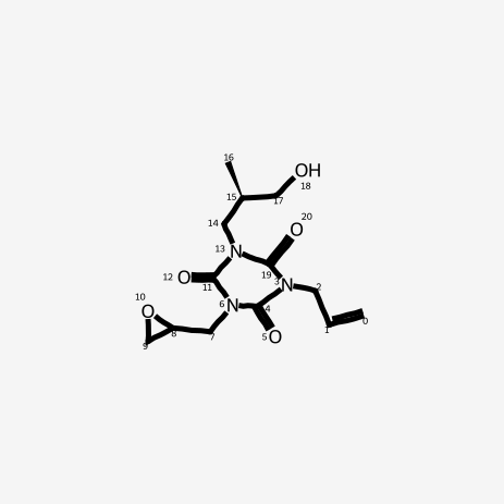 C=CCn1c(=O)n(CC2CO2)c(=O)n(C[C@@H](C)CO)c1=O